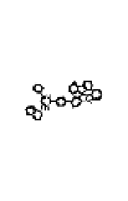 c1ccc(-c2cc(-c3cccc4ccccc34)nc(-c3ccc(-c4ccc5c(c4)C4(c6ccccc6-c6ccccc64)c4c-5sc5ccccc45)cc3)n2)cc1